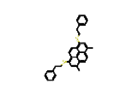 Cc1cc(SCCc2ccccc2)c2ccc3c(SCCc4ccccc4)cc(C)c4ccc1c2c43